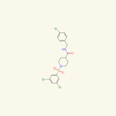 O=C(NCc1ccc(Br)cc1)C1CCN(S(=O)(=O)c2cc(Br)cc(Br)c2)CC1